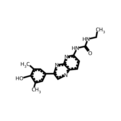 CCNC(=O)Nc1ccc2ncc(-c3cc(C)c(O)c(C)c3)nc2n1